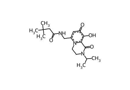 CC(C)N1CCn2c(CNC(=O)CC(C)(C)C)cc(=O)c(O)c2C1=O